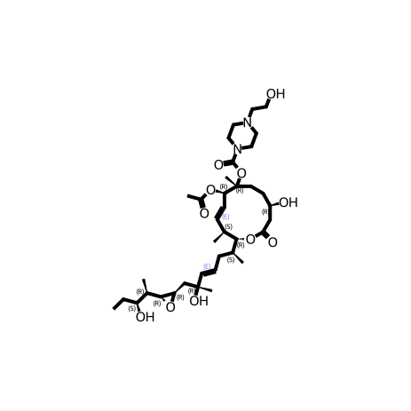 CC[C@H](O)[C@@H](C)[C@H]1O[C@@H]1C[C@@](C)(O)/C=C/C[C@H](C)[C@H]1OC(=O)C[C@H](O)CC[C@@](C)(OC(=O)N2CCN(CCO)CC2)[C@H](OC(C)=O)/C=C/[C@@H]1C